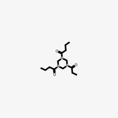 CCCC(=O)N1CN(C(=O)CC)CN(C(=O)CCC)C1